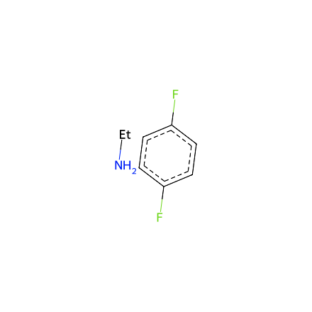 CCN.Fc1ccc(F)cc1